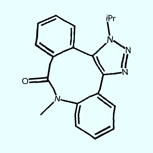 CC(C)n1nnc2c1-c1ccccc1C(=O)N(C)c1ccccc1-2